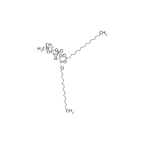 CCCCCCCCCCCCCCOC[C@H](COP(=O)(O)OCC[N+](C)(C)C)OC(=O)CCCCCCCCCCCCCC